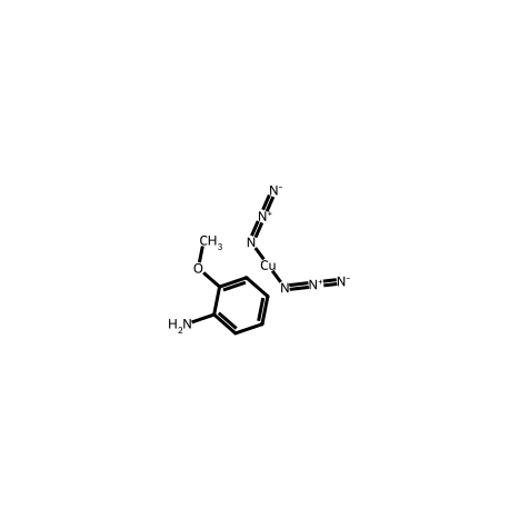 COc1ccccc1N.[N-]=[N+]=[N][Cu][N]=[N+]=[N-]